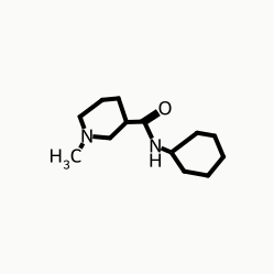 CN1CCCC(C(=O)NC2CCCCC2)C1